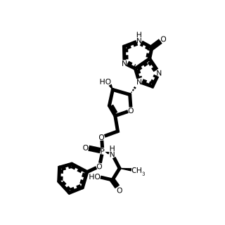 C[C@H](N[P@](=O)(OCC1=C[C@@H](O)[C@H](n2cnc3c(=O)[nH]cnc32)O1)Oc1ccccc1)C(=O)O